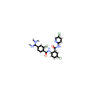 C/N=C(/c1ccc(C(=O)Nc2ccc(Cl)cc2C(=O)Nc2ccc(Cl)cn2)c(Cl)c1)N(C)C